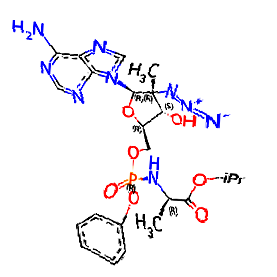 CC(C)OC(=O)[C@@H](C)N[P@@](=O)(OC[C@H]1O[C@@H](n2cnc3c(N)ncnc32)[C@](C)(N=[N+]=[N-])[C@@H]1O)Oc1ccccc1